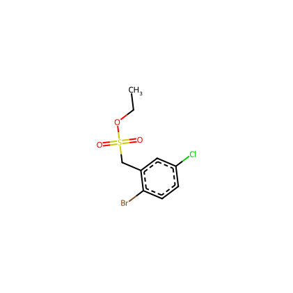 CCOS(=O)(=O)Cc1cc(Cl)ccc1Br